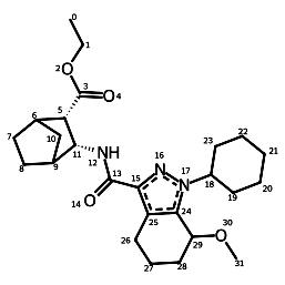 CCOC(=O)[C@H]1C2CCC(C2)[C@H]1NC(=O)c1nn(C2CCCCC2)c2c1CCCC2OC